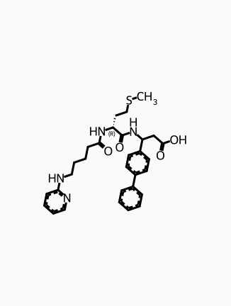 CSCC[C@@H](NC(=O)CCCCNc1ccccn1)C(=O)NC(CC(=O)O)c1ccc(-c2ccccc2)cc1